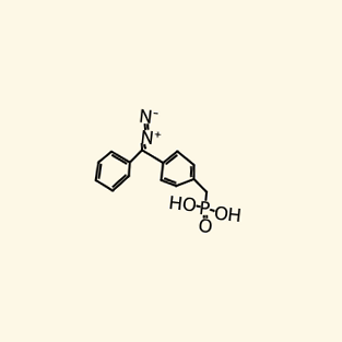 [N-]=[N+]=C(c1ccccc1)c1ccc(CP(=O)(O)O)cc1